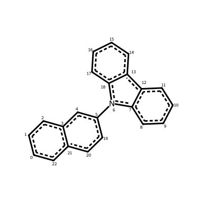 c1ccc2cc(-n3c4ccccc4c4ccccc43)ccc2c1